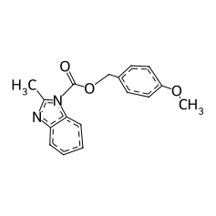 COc1ccc(COC(=O)n2c(C)nc3ccccc32)cc1